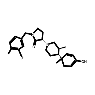 Cc1ccc(CN2CC[C@H](N3CC[C@@H](C4(C)C=CC(O)=CC4)[C@H](F)C3)C2=O)cc1F